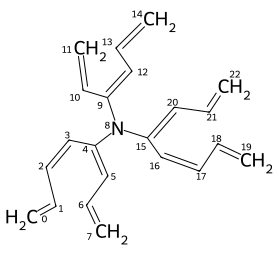 C=C/C=C\C(=C/C=C)N(/C(C=C)=C/C=C)C(/C=C\C=C)=C/C=C